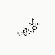 CC1(CO)OCC(CC(=O)Oc2ccc(O)c(C(=O)O)c2)O1